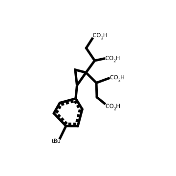 CC(C)(C)c1ccc(C2CC2(C(CC(=O)O)C(=O)O)C(CC(=O)O)C(=O)O)cc1